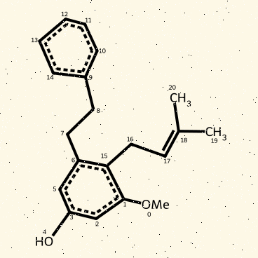 COc1cc(O)cc(CCc2ccccc2)c1CC=C(C)C